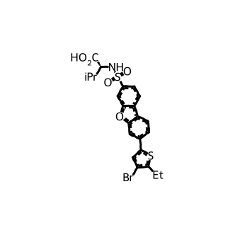 CCc1sc(-c2ccc3c(c2)oc2cc(S(=O)(=O)N[C@H](C(=O)O)C(C)C)ccc23)cc1Br